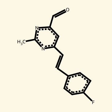 Cc1nc(C=O)cc(/C=C/c2ccc(F)cc2)n1